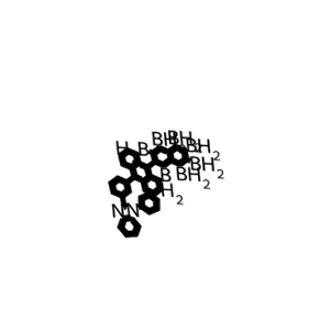 Bc1c(B)c(B)c2c(B)c(-c3c4ccccc4c(-c4cccc(-c5nc6ccccc6n5-c5ccccc5)c4)c4ccccc34)c(B)c(B)c2c1B